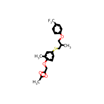 Cc1cc(SCC(C)COc2ccc(C(F)(F)F)cc2)ccc1OCC1OC(C)O1